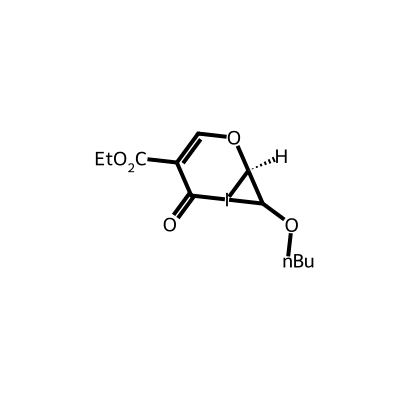 CCCCOC1[C@@H]2OC=C(C(=O)OCC)C(=O)I12